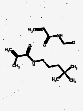 C=C(C)C(=O)NCCC[N+](C)(C)C.C=CC(=O)NCCl